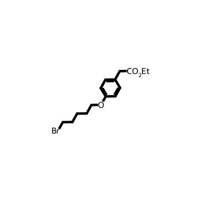 CCOC(=O)Cc1ccc(OCCCCCBr)cc1